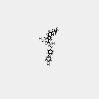 Nc1c(C(=O)NCCc2ccc(N3CCNCC3)cc2)sc2nc(OC(F)F)ccc12